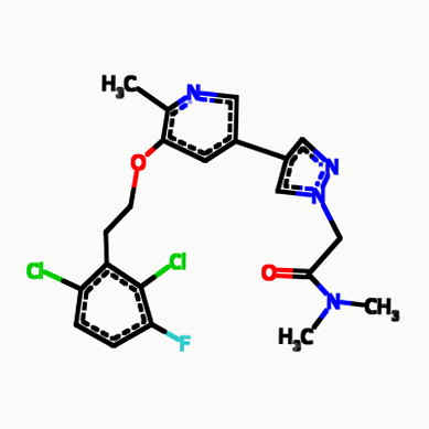 Cc1ncc(-c2cnn(CC(=O)N(C)C)c2)cc1OCCc1c(Cl)ccc(F)c1Cl